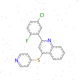 Fc1ccc(Cl)cc1-c1cc(Sc2ccncc2)c2ccccc2n1